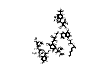 CCCCCC(C)OC(=O)COc1ccc(Cl)c2cccnc12.CCOC(=O)C(Cl)Cc1cc(-n2nc(C)n(C(F)F)c2=O)c(F)cc1Cl.COC(=O)c1ccc(I)cc1S(=O)(=O)[N-]C(=O)Nc1nc(C)nc(OC)n1.Cc1nn(C)c(O)c1C(=O)c1ccc(C(F)(F)F)cc1S(C)(=O)=O.[Na+]